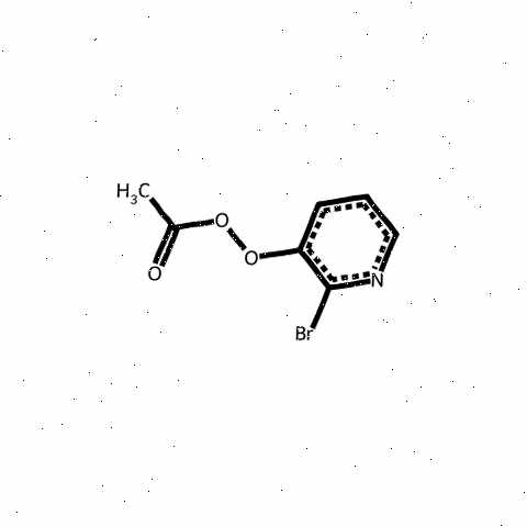 CC(=O)OOc1cccnc1Br